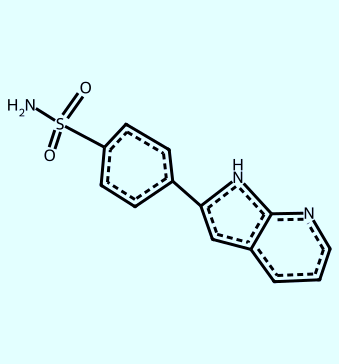 NS(=O)(=O)c1ccc(-c2cc3cccnc3[nH]2)cc1